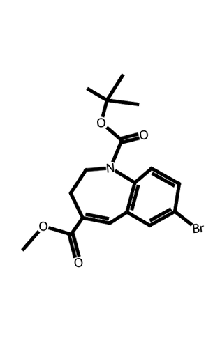 COC(=O)C1=Cc2cc(Br)ccc2N(C(=O)OC(C)(C)C)CC1